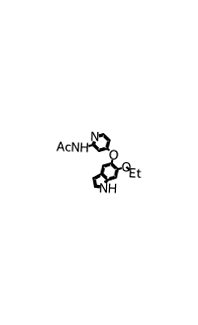 CCOc1cc2[nH]ccc2cc1Oc1ccnc(NC(C)=O)c1